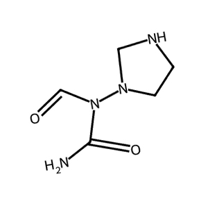 NC(=O)N(C=O)N1CCNC1